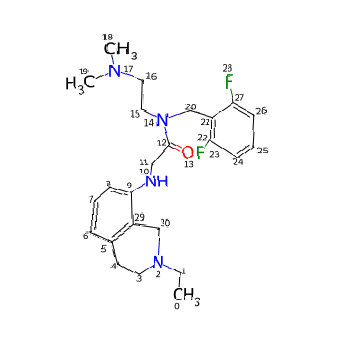 CCN1CCc2cccc(NCC(=O)N(CCN(C)C)Cc3c(F)cccc3F)c2C1